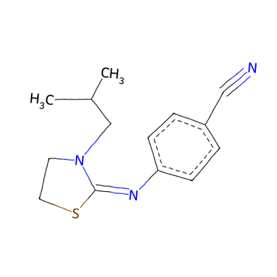 CC(C)CN1CCSC1=Nc1ccc(C#N)cc1